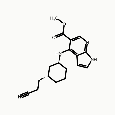 COC(=O)c1cnc2[nH]ccc2c1N[C@H]1CCC[C@H](CCC#N)C1